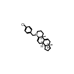 C[C@]12CCCN(Cc3ccc(Cl)cc3)C1=CC[C@@H]1C2=CC[C@]2(C)CCC[C@@H]12